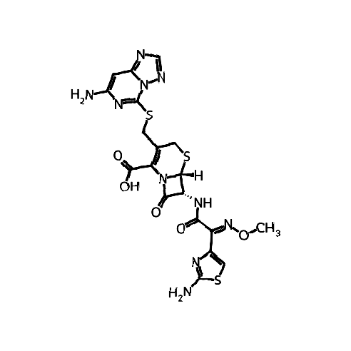 CON=C(C(=O)N[C@@H]1C(=O)N2C(C(=O)O)=C(CSc3nc(N)cc4ncnn34)CS[C@H]12)c1csc(N)n1